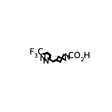 O=C(O)N1CC2(CC(=Cc3ccc(C(F)(F)F)nn3)C2)C1